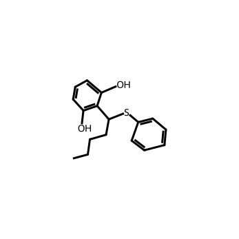 CCCCC(Sc1ccccc1)c1c(O)cccc1O